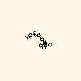 CC(C)(O)c1cn(-c2ccc(-c3cccc(NC(=O)c4ccc5c(c4)OCO5)c3)cc2)c(-c2ccccc2Cl)n1